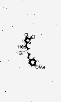 COc1ccc(CCNCC(O)c2cc(Cl)c(Cl)s2)cc1.Cl